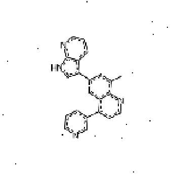 Cc1cc(-c2c[nH]c3ncccc23)cc2c(-c3cccnc3)ccnc12